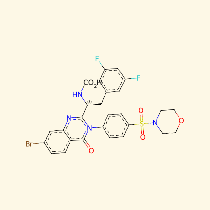 O=C(O)N[C@@H](Cc1cc(F)cc(F)c1)c1nc2cc(Br)ccc2c(=O)n1-c1ccc(S(=O)(=O)N2CCOCC2)cc1